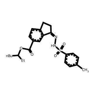 CCCCC(CC)OC(=O)c1ccc2c(c1)/C(=N\NS(=O)(=O)c1ccc(C)cc1)CC2